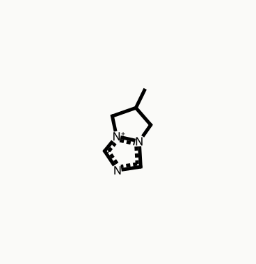 CC1Cn2cnc[n+]2C1